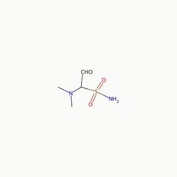 CN(C)C(C=O)S(N)(=O)=O